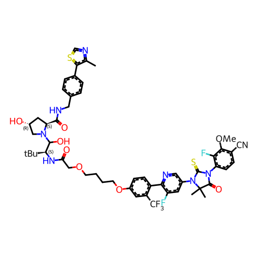 COc1c(C#N)ccc(N2C(=O)C(C)(C)N(c3cnc(-c4ccc(OCCCCOCC(=O)N[C@H](C(O)N5C[C@H](O)C[C@H]5C(=O)NCc5ccc(-c6scnc6C)cc5)C(C)(C)C)cc4C(F)(F)F)c(F)c3)C2=S)c1F